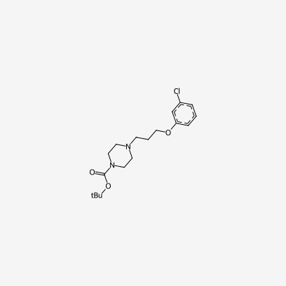 CC(C)(C)OC(=O)N1CCN(CCCOc2cccc(Cl)c2)CC1